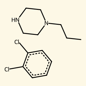 CCCN1CCNCC1.Clc1ccccc1Cl